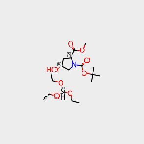 CCO[SiH](OCC)OCC.COC(=O)[C@@H]1C[C@@H](O)CN1C(=O)OC(C)(C)C